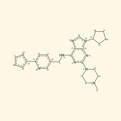 CN1CCN(c2nc(NCc3ccc(-c4ccco4)nc3)c3ncn(C4CCCC4)c3n2)CC1